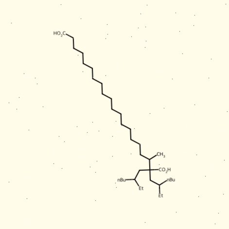 CCCCC(CC)CC(CC(CC)CCCC)(C(=O)O)C(C)CCCCCCCCCCCCCCCCC(=O)O